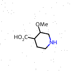 COC1CNCCC1C(=O)O